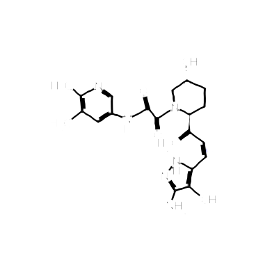 C=C(/C=C\c1[nH]nc(N)c1C)[C@@H]1CC[C@@H](C)CN1C(=O)C(=O)Nc1cnc(C)c(C)c1